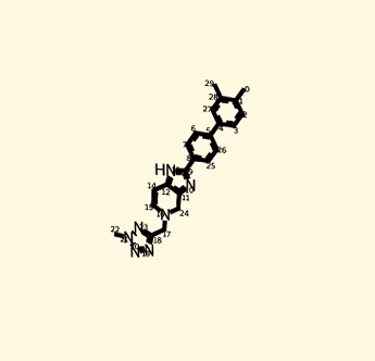 Cc1ccc(-c2ccc(-c3nc4c([nH]3)C=CN(Cc3nnn(C)n3)C4)cc2)cc1C